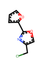 ClCc1coc(-c2ccco2)n1